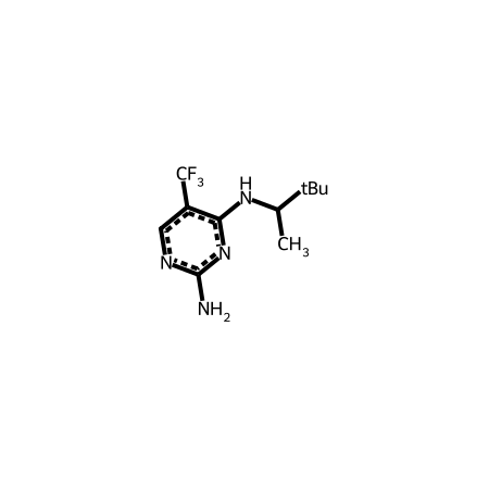 CC(Nc1nc(N)ncc1C(F)(F)F)C(C)(C)C